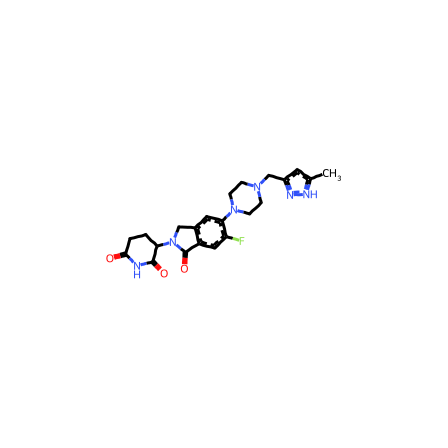 Cc1cc(CN2CCN(c3cc4c(cc3F)C(=O)N(C3CCC(=O)NC3=O)C4)CC2)n[nH]1